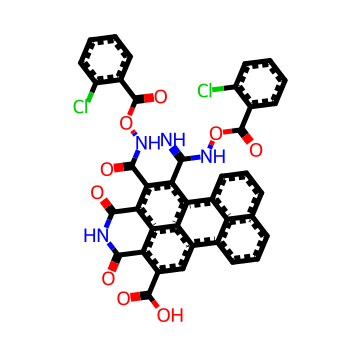 N=C(NOC(=O)c1ccccc1Cl)c1c(C(=O)NOC(=O)c2ccccc2Cl)c2c3c(c(C(=O)O)cc4c5cccc6cccc(c1c34)c65)C(=O)NC2=O